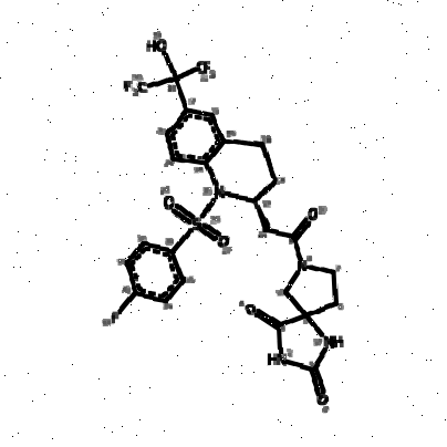 O=C1NC(=O)C2(CCN(C(=O)C[C@@H]3CCc4cc(C(O)(C(F)(F)F)C(F)(F)F)ccc4N3S(=O)(=O)c3ccc(F)cc3)C2)N1